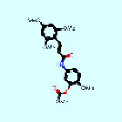 COC(=O)Oc1cc(NC(=O)C=Cc2c(OC)cc(OC)cc2OC)ccc1OC